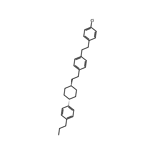 CCCc1ccc([C@H]2CC[C@H](CCc3ccc(CCc4ccc(Cl)cc4)cc3)CC2)cc1